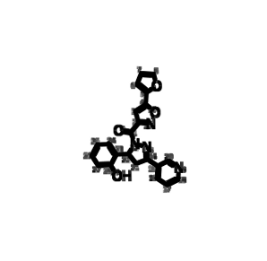 O=C(c1cc(-c2ccco2)on1)N1N=C(c2cccnc2)CC1c1ccccc1O